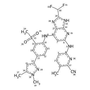 Cc1ccc(Nc2cc(Nc3ccc(-c4cc(C)n(C)n4)cc3S(C)(=O)=O)c3nc(C(F)F)[nH]c3n2)nc1C#N